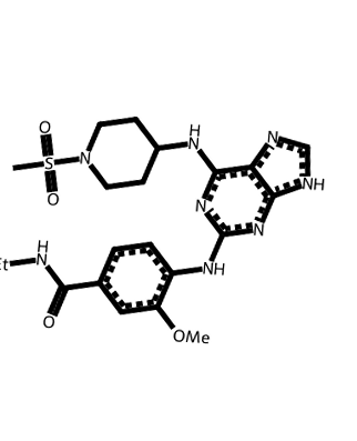 CCNC(=O)c1ccc(Nc2nc(NC3CCN(S(C)(=O)=O)CC3)c3nc[nH]c3n2)c(OC)c1